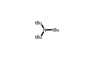 CC(C)(C)N(C(C)(C)C)C(C)(C)C